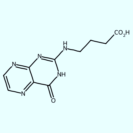 O=C(O)CCCNc1nc2nccnc2c(=O)[nH]1